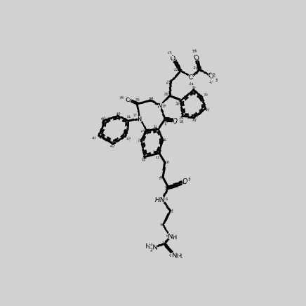 N=C(N)NCCNC(=O)CCc1ccc2c(c1)C(=O)N(C(CC(=O)OC(=O)C(F)(F)F)c1ccccc1)CC(=O)N2c1ccccc1